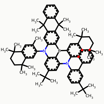 Cc1cc2c(cc1N1c3cc4c(cc3B3c5cc6c(cc5N(c5ccc(C(C)(C)C)cc5-c5ccccc5)c5cc(C(C)(C)C)cc1c53)C(C)(C)CCC6(C)C)C(C)(C)c1ccccc1C4(C)C)C(C)(C)CCC2(C)C